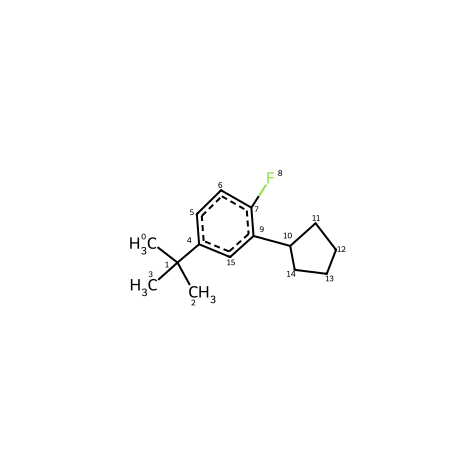 CC(C)(C)c1ccc(F)c(C2CCCC2)c1